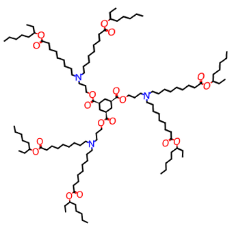 CCCCCC(CC)OC(=O)CCCCCCCCN(CCCCCCCCC(=O)OC(CC)CCCCC)CCCOC(=O)[C@H]1C[C@@H](C(=O)OCCCN(CCCCCCCCC(=O)OC(CC)CCCCC)CCCCCCCCC(=O)OC(CC)CCCCC)C[C@@H](C(=O)OCCCN(CCCCCCCCC(=O)OC(CC)CCCCC)CCCCCCCCC(=O)OC(CC)CCCCC)C1